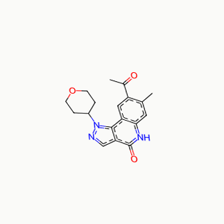 CC(=O)c1cc2c(cc1C)[nH]c(=O)c1cnn(C3CCOCC3)c12